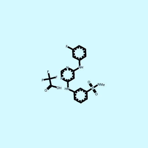 CNS(=O)(=O)c1cccc(Nc2cc(Nc3cccc(F)c3)ncn2)c1.O=C(O)C(F)(F)F